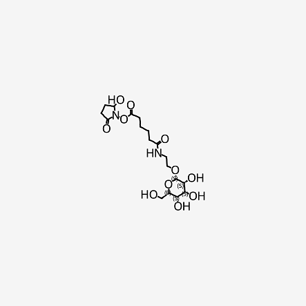 O=C(CCCCC(=O)ON1C(=O)CCC1O)NCCO[C@H]1O[C@H](CO)[C@@H](O)[C@H](O)[C@@H]1O